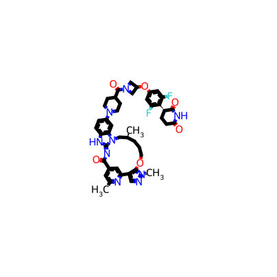 Cc1cc2cc(n1)-c1cnn(C)c1OCCC[C@@H](C)CN1/C(=N/C2=O)Nc2ccc(N3CCC(C(=O)N4CC(Oc5cc(F)c([C@H]6CCC(=O)NC6=O)c(F)c5)C4)CC3)cc21